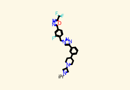 CC(C)N1CC(N2CCC(c3cccc(-c4cn(Cc5ccc(-c6nnc(C(F)F)o6)cc5F)nn4)c3)CC2)C1